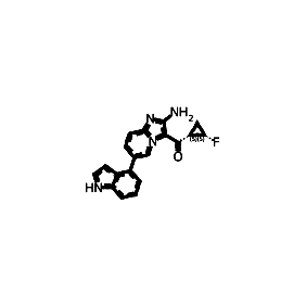 Nc1nc2ccc(-c3cccc4[nH]ccc34)cn2c1C(=O)[C@@H]1C[C@@H]1F